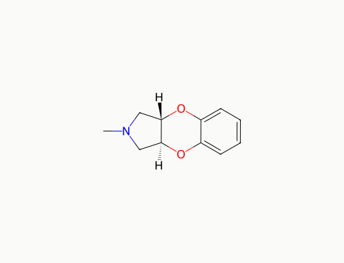 CN1C[C@@H]2Oc3ccccc3O[C@H]2C1